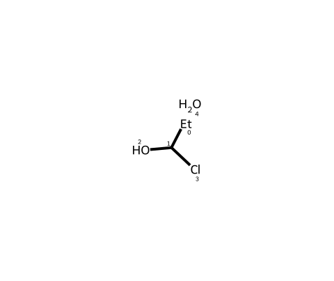 CCC(O)Cl.O